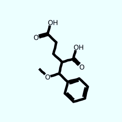 COC(c1ccccc1)C(CCC(=O)O)C(=O)O